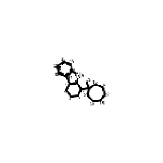 CC1(C2CCCC3=C2[N]c2ccccc23)CCCCCC1